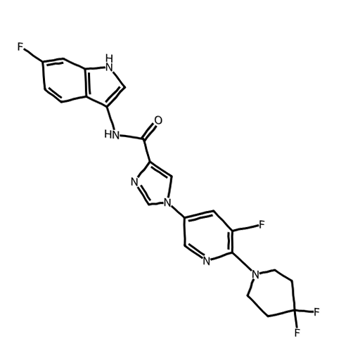 O=C(Nc1c[nH]c2cc(F)ccc12)c1cn(-c2cnc(N3CCC(F)(F)CC3)c(F)c2)cn1